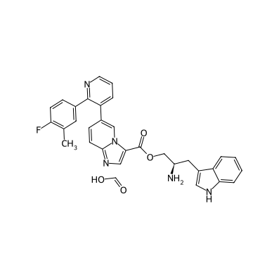 Cc1cc(-c2ncccc2-c2ccc3ncc(C(=O)OC[C@H](N)Cc4c[nH]c5ccccc45)n3c2)ccc1F.O=CO